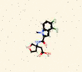 Cn1c(C(=O)NC2(CC(=O)O)CCOC2)cc2c(Cl)c(Cl)ccc21